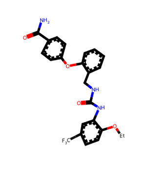 CCOc1ccc(C(F)(F)F)cc1NC(=O)NCc1ccccc1Oc1ccc(C(N)=O)cc1